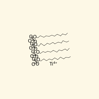 CCCCCCCCCCCCOS(=O)(=O)[O-].CCCCCCCCCCCCOS(=O)(=O)[O-].CCCCCCCCCCCCOS(=O)(=O)[O-].CCCCCCCCCCCCOS(=O)(=O)[O-].[Ti+4]